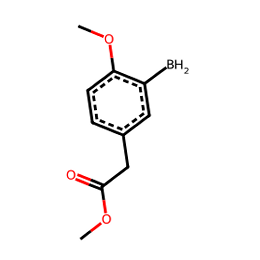 Bc1cc(CC(=O)OC)ccc1OC